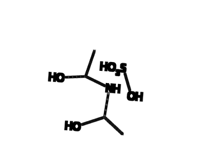 CC(O)NC(C)O.O=S(=O)(O)O